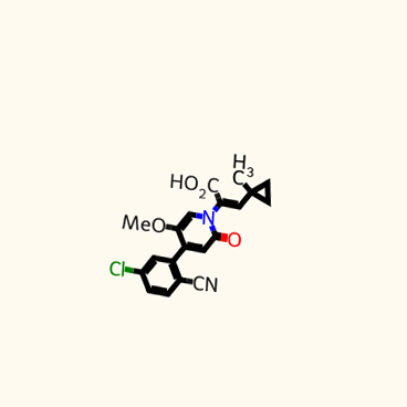 COc1cn(C(=CC2(C)CC2)C(=O)O)c(=O)cc1-c1cc(Cl)ccc1C#N